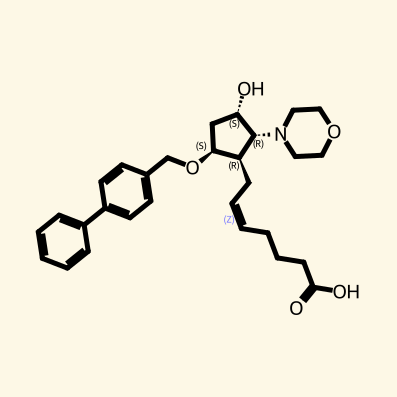 O=C(O)CCC/C=C\C[C@@H]1[C@@H](N2CCOCC2)[C@@H](O)C[C@@H]1OCc1ccc(-c2ccccc2)cc1